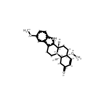 COc1ccc2[nH]c3c(c2c1)CCN1[C@H]3CC[C@@]2(OC)C=CC(=O)C[C@@H]12